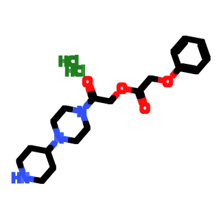 Cl.Cl.O=C(COc1ccccc1)OCC(=O)N1CCN(C2CCNCC2)CC1